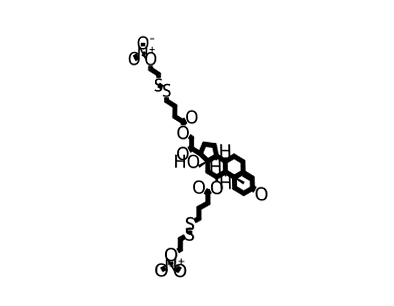 C[C@]12CCC(=O)C=C1CC[C@@H]1[C@@H]2[C@@H](OC(=O)CCCSSCCO[N+](=O)[O-])C[C@@]2(C)[C@H]1CC[C@]2(O)C(=O)COC(=O)CCCSSCCO[N+](=O)[O-]